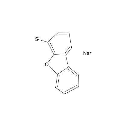 [Na+].[S-]c1cccc2c1oc1ccccc12